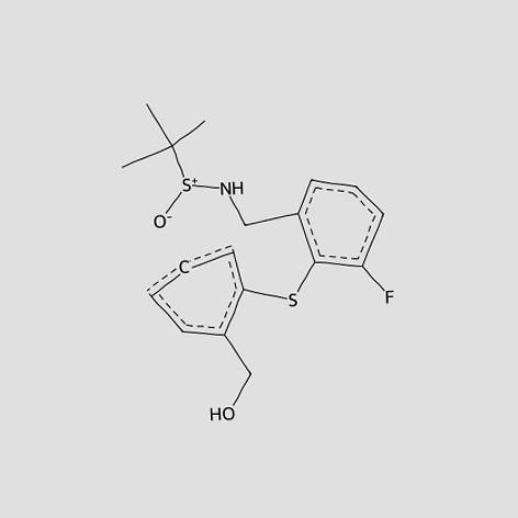 CC(C)(C)[S+]([O-])NCc1cccc(F)c1Sc1ccccc1CO